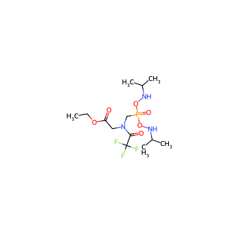 CCOC(=O)CN(CP(=O)(ONC(C)C)ONC(C)C)C(=O)C(F)(F)F